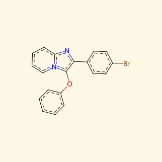 Brc1ccc(-c2nc3ccccn3c2Oc2ccccc2)cc1